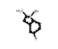 CC(C)(C)n1c(C(=O)O)cc2cc(Br)ccc21